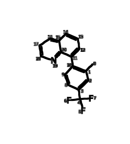 Cc1cc(C(F)(F)F)ccc1-c1cccc2cccnc12